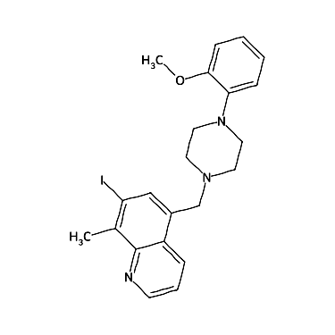 COc1ccccc1N1CCN(Cc2cc(I)c(C)c3ncccc23)CC1